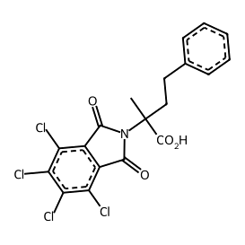 CC(CCc1ccccc1)(C(=O)O)N1C(=O)c2c(Cl)c(Cl)c(Cl)c(Cl)c2C1=O